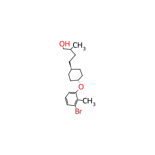 Cc1c(Br)cccc1O[C@H]1CC[C@H](CCC(C)CO)CC1